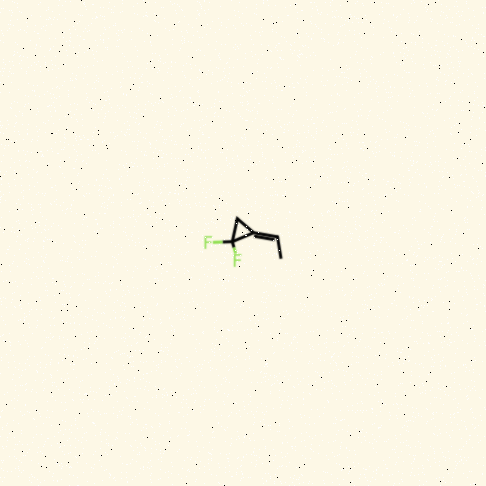 C/C=C1/CC1(F)F